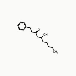 CCCCCC(O)CC(=O)CCc1ccccc1